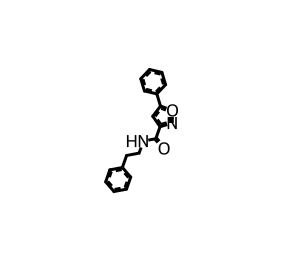 O=C(NCCc1ccccc1)c1cc(-c2ccccc2)on1